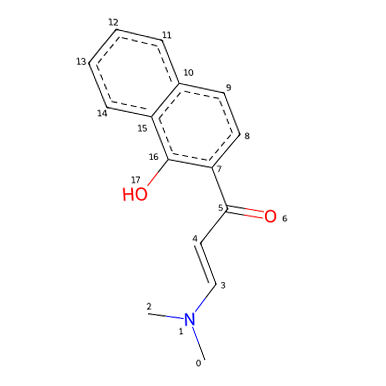 CN(C)C=CC(=O)c1ccc2ccccc2c1O